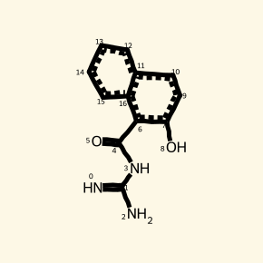 N=C(N)NC(=O)c1c(O)ccc2ccccc12